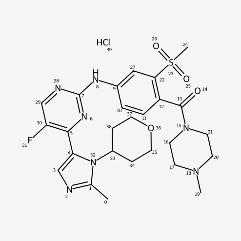 Cc1ncc(-c2nc(Nc3ccc(C(=O)N4CCN(C)CC4)c(S(C)(=O)=O)c3)ncc2F)n1C1CCOCC1.Cl